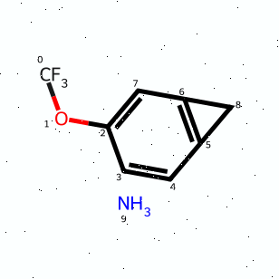 FC(F)(F)Oc1ccc2c(c1)C2.N